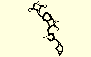 O=C1Nc2ccc(CN3C(=O)CSC3=O)cc2C1=Cc1cc(CN2CC3CC3C2)c[nH]1